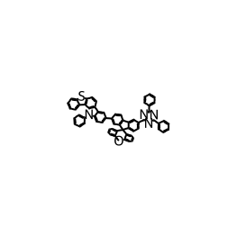 c1ccc(-c2nc(-c3ccccc3)nc(-c3ccc4c(c3)-c3ccc(-c5ccc6c(c5)c5ccc7sc8ccccc8c7c5n6-c5ccccc5)cc3C43c4ccccc4Oc4ccccc43)n2)cc1